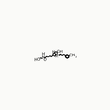 Cc1cccc(CC/C=C/[C@@H]2[C@H]3CC(CCCCC(=O)NCCO)=C[C@H]3C[C@H]2O)c1